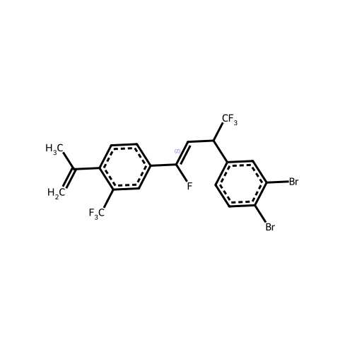 C=C(C)c1ccc(/C(F)=C/C(c2ccc(Br)c(Br)c2)C(F)(F)F)cc1C(F)(F)F